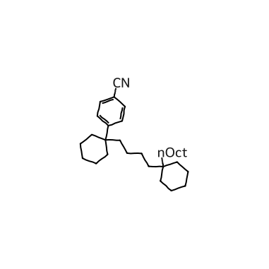 CCCCCCCCC1(CCCCC2(c3ccc(C#N)cc3)CCCCC2)CCCCC1